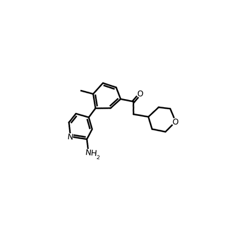 Cc1ccc(C(=O)CC2CCOCC2)cc1-c1ccnc(N)c1